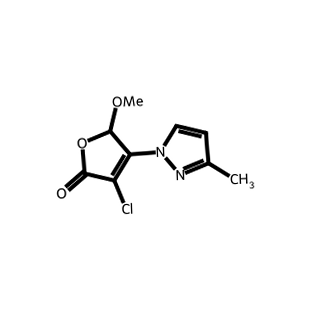 COC1OC(=O)C(Cl)=C1n1ccc(C)n1